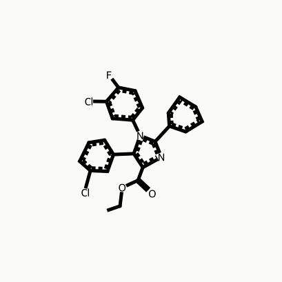 CCOC(=O)c1nc(-c2ccccc2)n(-c2ccc(F)c(Cl)c2)c1-c1cccc(Cl)c1